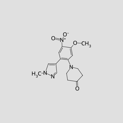 COc1cc(N2CCC(=O)CC2)c(-c2cnn(C)c2)cc1[N+](=O)[O-]